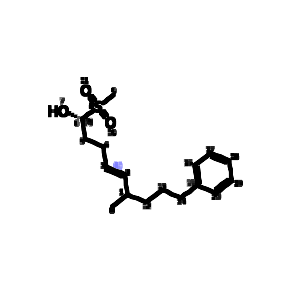 CC(/C=C/CC[C@H](O)S(C)(=O)=O)CCCc1ccccc1